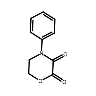 O=C1OCCN(c2ccccc2)C1=O